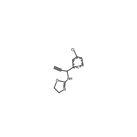 C#CC(NC1=NCCO1)c1cccc(Cl)c1